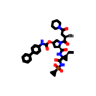 C=C[C@@H]1C[C@]1(NC(=O)[C@@H]1C[C@@H](OC(=O)Nc2ccc(-c3ccccc3)cc2)CN1C(=O)[C@@H](CC(=O)N1CCCCC1)C(C)(C)C)C(=O)NS(=O)(=O)C1CC1